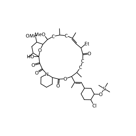 CCC1/C=C(\C)CC(C)CC(OC)C2OC(O)(C(=O)C(=O)N3CCCCC3C(=O)OC(C(C)=CC3CCC(Cl)C(O[Si](C)(C)C)C3)C(C)CCC1=O)C(C)CC2OC